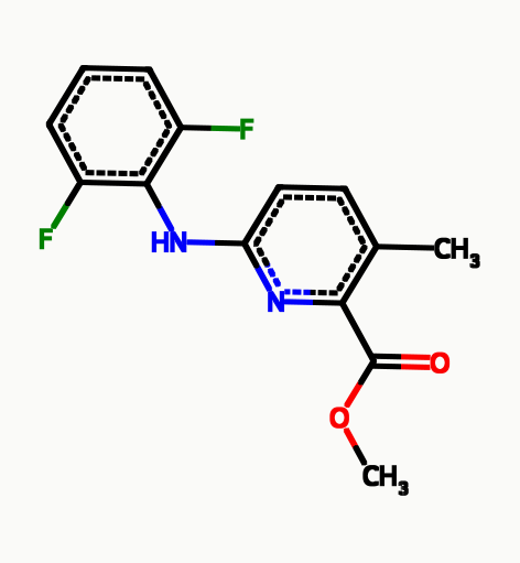 COC(=O)c1nc(Nc2c(F)cccc2F)ccc1C